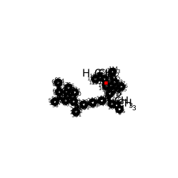 CC1(C)c2ccccc2-c2ccc(N(c3ccc(-c4ccc(-c5ccc(N(c6ccccc6)c6ccc7c(c6)-c6ccccc6C76c7cccc(N(c8ccccc8)c8ccc(-c9ccccc9)cc8)c7-c7sc8ccccc8c76)cc5)cc4)cc3)c3ccc4c(c3)-c3sc5ccccc5c3C43c4ccccc4-c4c(N(c5ccccc5)c5ccc6c(c5)C(C)(C)c5ccccc5-6)cccc43)cc21